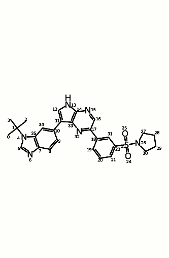 CC(C)(C)n1cnc2ccc(-c3c[nH]c4ncc(-c5cccc(S(=O)(=O)N6CCCC6)c5)nc34)cc21